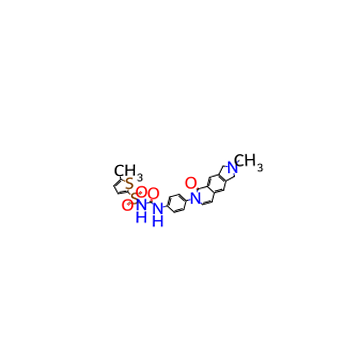 Cc1ccc(S(=O)(=O)NC(=O)Nc2ccc(-n3ccc4cc5c(cc4c3=O)CN(C)C5)cc2)s1